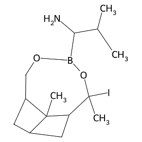 CC(C)C(N)B1OCC2CC3CC(C(C)(I)O1)C23C